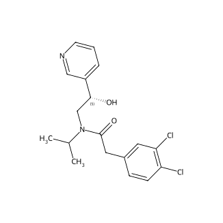 CC(C)N(C[C@@H](O)c1cccnc1)C(=O)Cc1ccc(Cl)c(Cl)c1